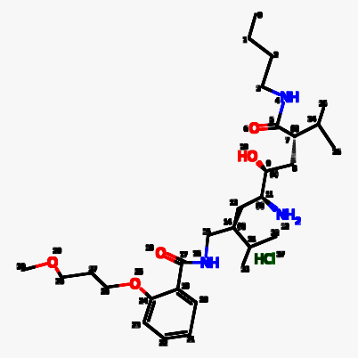 CCCCNC(=O)[C@@H](C[C@H](O)[C@@H](N)C[C@H](CNC(=O)c1ccccc1OCCCOC)C(C)C)C(C)C.Cl